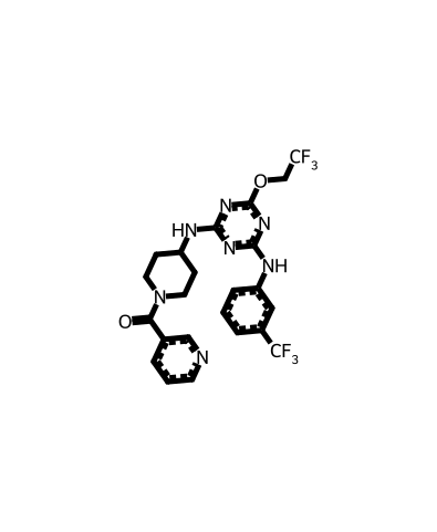 O=C(c1cccnc1)N1CCC(Nc2nc(Nc3cccc(C(F)(F)F)c3)nc(OCC(F)(F)F)n2)CC1